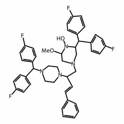 COC1CN(CC(C=Cc2ccccc2)N2CCN(C(c3ccc(F)cc3)c3ccc(F)cc3)CC2)CC(C(c2ccc(F)cc2)c2ccc(F)cc2)N1O